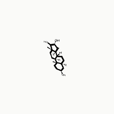 C[C@]12CC[C@H](O)C[C@@H]1CC[C@@H]1[C@@H]2CC[C@]2(C)C(O)[C@H](O)C[C@@H]12